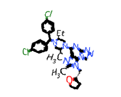 CC[C@@H]1CN(c2nc3nncn3c3c2nc(C)n3C[C@@H]2CCCO2)[C@@H](C)CN1C(c1ccc(Cl)cc1)c1ccc(Cl)cc1